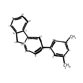 Cc1cc(C)cc(-c2cc[n+]3c(c2)-c2ccccc2C3)c1